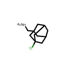 CC(=O)NCC12CC3CC(CC(Cl)(C3)C1)C2